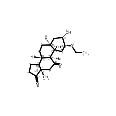 CCO[C@H]1C[C@@]2(C)[C@@H](CC[C@@H]3[C@@H]2C(=O)C[C@]2(C)C(=O)CC[C@@H]32)C[C@@H]1O